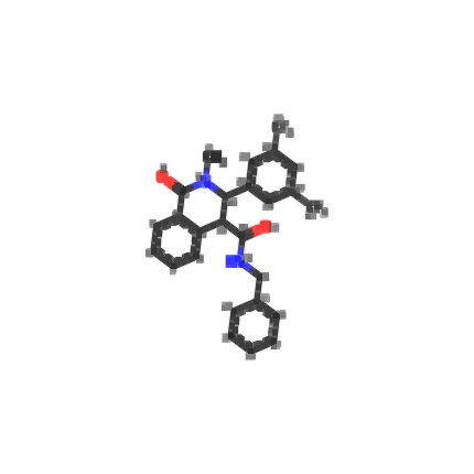 CN1C(=O)c2ccccc2C(C(=O)NCc2ccccc2)C1c1cc(C(F)(F)F)cc(C(F)(F)F)c1